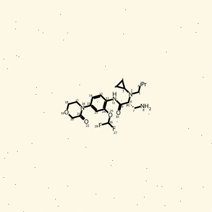 CC(C)CN(C1CC1)[C@H](CN)C(=O)Nc1ccc(N2CCOCC2=O)cc1OC(F)F